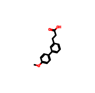 COc1ccc(-c2cccc(CCC(=O)O)c2)cc1